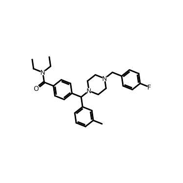 CCN(CC)C(=O)c1ccc(C(c2cccc(C)c2)N2CCN(Cc3ccc(F)cc3)CC2)cc1